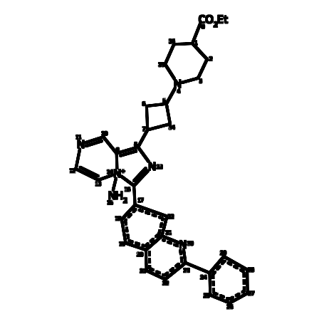 CCOC(=O)C1CCN(C2CC(C3=C4C=NC=C[N+]4(N)C(c4ccc5ccc(-c6ccccc6)nc5c4)=N3)C2)CC1